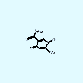 CNC(=O)c1cn(C)c(C(C)(C)C)cc1=O